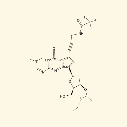 CSS[C@@H](C)O[C@@H]1C[C@H](n2cc(C#CCNC(=O)C(F)(F)F)c3c(=O)[nH]c(/N=C\N(C)C)nc32)O[C@@H]1CO